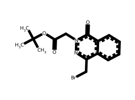 CC(C)(C)OC(=O)Cn1nc(CBr)c2ccccc2c1=O